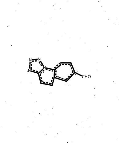 O=Cc1ccc2c(ccc3nnnn32)c1